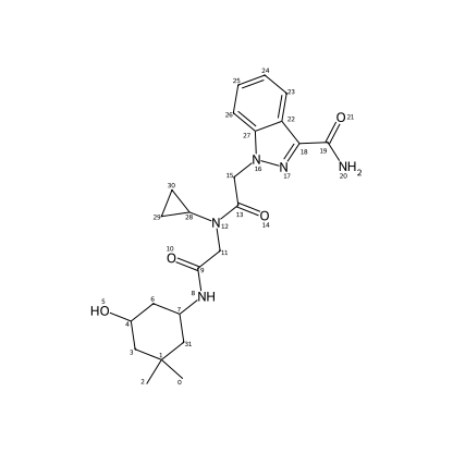 CC1(C)CC(O)CC(NC(=O)CN(C(=O)Cn2nc(C(N)=O)c3ccccc32)C2CC2)C1